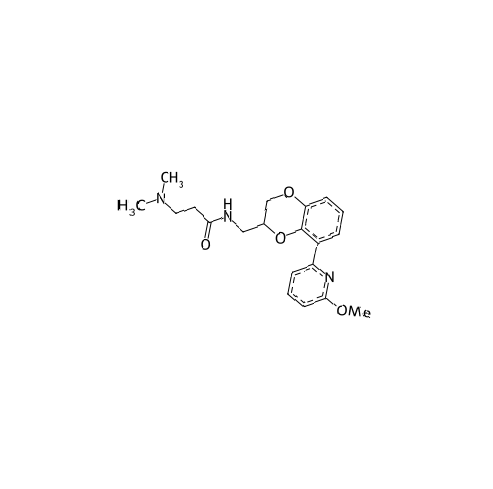 COc1cccc(-c2cccc3c2OC(CNC(=O)CCN(C)C)CO3)n1